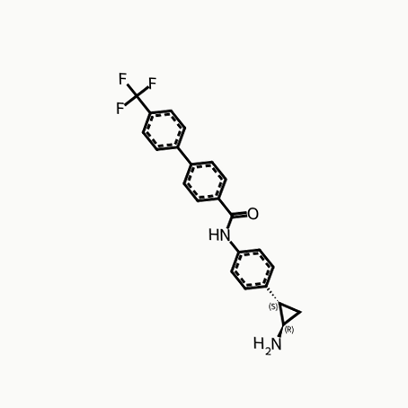 N[C@@H]1C[C@H]1c1ccc(NC(=O)c2ccc(-c3ccc(C(F)(F)F)cc3)cc2)cc1